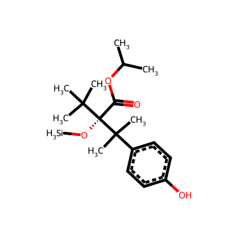 CC(C)OC(=O)[C@](O[SiH3])(C(C)(C)C)C(C)(C)c1ccc(O)cc1